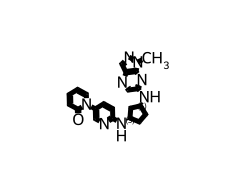 Cn1ncc2ncc(N[C@H]3CC[C@H](Nc4ccc(-n5ccccc5=O)cn4)C3)nc21